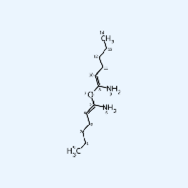 CCCC/C=C(\N)O/C(N)=C/CCCC